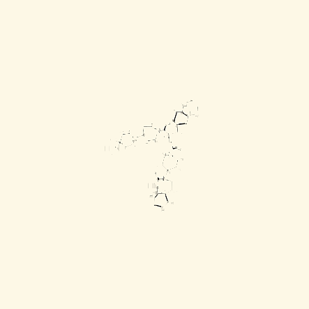 CC1(N)CCN(C2CCN(C(=O)[C@@H](Cc3ccc4c(c3)OCCO4)OC(=O)N3CCC(N4CCc5ccccc5NC4=O)CC3)CC2)CC1